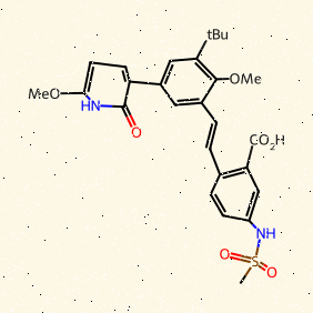 COc1ccc(-c2cc(C=Cc3ccc(NS(C)(=O)=O)cc3C(=O)O)c(OC)c(C(C)(C)C)c2)c(=O)[nH]1